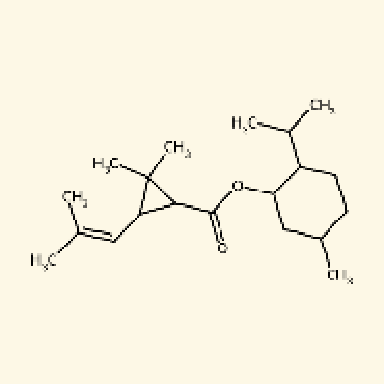 CC(C)=CC1C(C(=O)OC2CC(C)CCC2C(C)C)C1(C)C